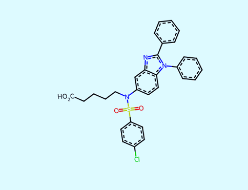 O=C(O)CCCCN(c1ccc2c(c1)nc(-c1ccccc1)n2-c1ccccc1)S(=O)(=O)c1ccc(Cl)cc1